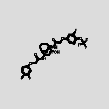 Cc1ccc(OCC(=O)NC2C[C@H](O)C3(NC(=O)COc4ccc(OC(F)(F)F)c(F)c4)CCCC2C3)cc1F